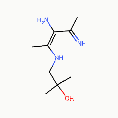 CC(=N)/C(N)=C(/C)NCC(C)(C)O